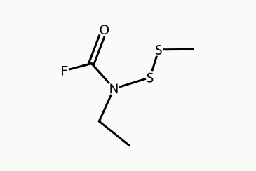 CCN(SSC)C(=O)F